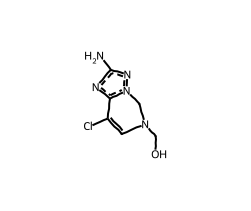 Nc1nc2n(n1)CN(CO)C=C2Cl